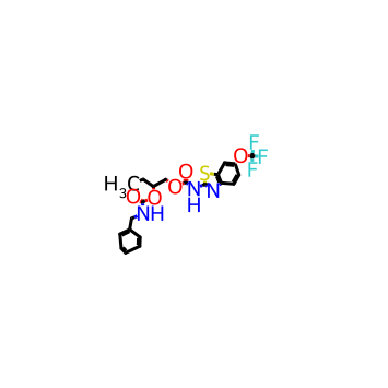 CCC(COC(=O)Nc1nc2ccc(OC(F)(F)F)cc2s1)OC(=O)NCc1ccccc1